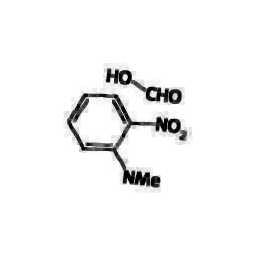 CNc1ccccc1[N+](=O)[O-].O=CO